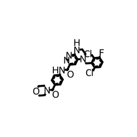 O=C(Nc1ccc(C(=O)N2CCOCC2)cc1)c1cc2c(nn1)NCCN2Cc1c(Cl)ccc(F)c1Cl